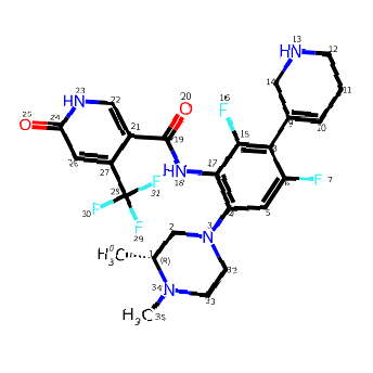 C[C@@H]1CN(c2cc(F)c(C3=CCCNC3)c(F)c2NC(=O)c2c[nH]c(=O)cc2C(F)(F)F)CCN1C